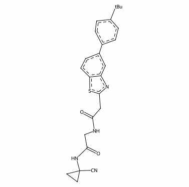 CC(C)(C)c1ccc(-c2ccc3sc(CC(=O)NCC(=O)NC4(C#N)CC4)nc3c2)cc1